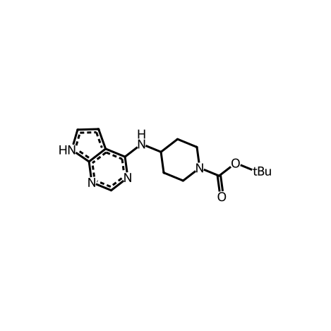 CC(C)(C)OC(=O)N1CCC(Nc2ncnc3[nH]ccc23)CC1